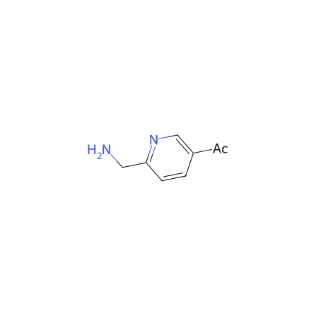 CC(=O)c1ccc(CN)nc1